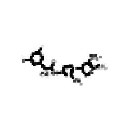 Cc1cc(NC(=O)[C@H](O)c2cc(F)cc(F)c2)ccc1-c1cnc(N)c(C(=O)O)c1